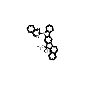 CC1(C)c2cc3c(cc2-c2ccc4ccccc4c21)c1ccccc1n3-c1ncc2ccccc2n1